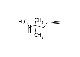 [C]#CCCC(C)(C)NC